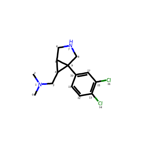 CN(C)CC1C2CNCC21c1ccc(Cl)c(Cl)c1